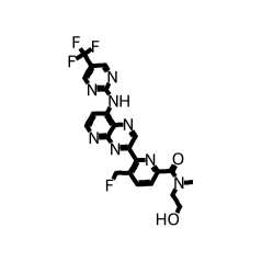 CN(CCO)C(=O)c1ccc(CF)c(-c2cnc3c(Nc4ncc(C(F)(F)F)cn4)ccnc3n2)n1